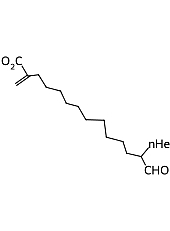 C=C(CCCCCCCCCCC(C=O)CCCCCC)C(=O)O